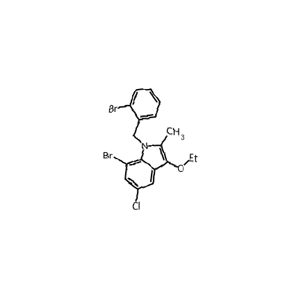 [CH2]COc1c(C)n(Cc2ccccc2Br)c2c(Br)cc(Cl)cc12